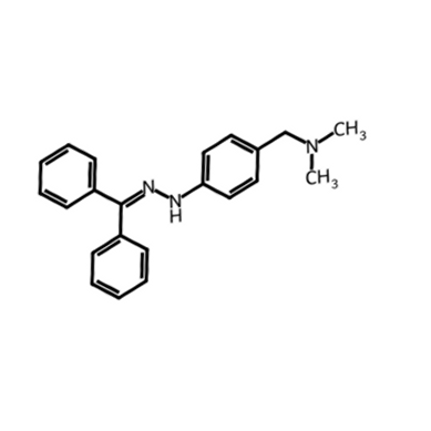 CN(C)Cc1ccc(NN=C(c2ccccc2)c2ccccc2)cc1